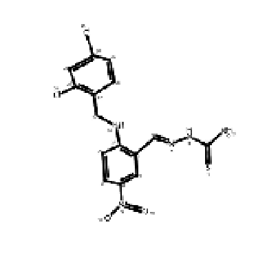 NC(=S)NN=Cc1cc([N+](=O)[O-])ccc1NCc1ccc(Cl)cc1Cl